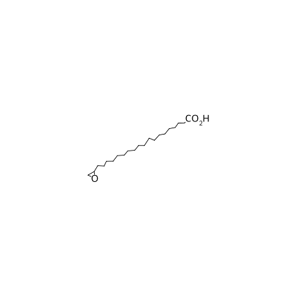 O=C(O)CCCCCCCCCCCCCCCCCCC1CO1